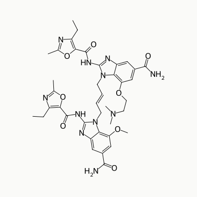 CCc1nc(C)oc1C(=O)Nc1nc2cc(C(N)=O)cc(OC)c2n1CC=CCn1c(NC(=O)c2oc(C)nc2CC)nc2cc(C(N)=O)cc(OCCN(C)C)c21